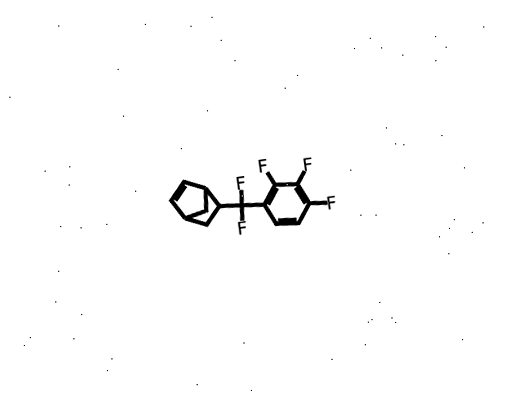 Fc1ccc(C(F)(F)C2CC3C=CC2C3)c(F)c1F